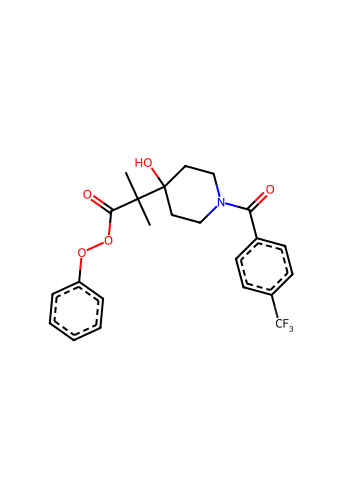 CC(C)(C(=O)OOc1ccccc1)C1(O)CCN(C(=O)c2ccc(C(F)(F)F)cc2)CC1